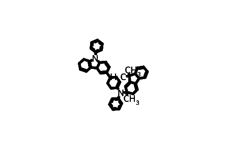 CC1(C)C2=CC(C)(N(C3=CCC(C4=CC5C6=C(CCC=C6)N(c6ccccc6)C5C=C4)CC3)c3ccccc3)CC=C2C2C=CC=CC21